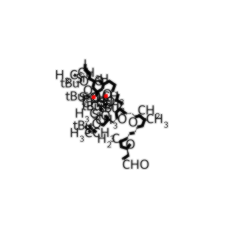 C=C1C[C@H](CCC=O)O[C@H]1CC[C@H]1CC(C)C(=C)[C@@H](C[C@@H]2O[C@H](C[C@@H](CO[Si](C)(C)C(C)(C)C)O[Si](C)(C)C(C)(C)C)C[C@H]2CC(O)C[C@H]2CC[C@@H]3O[C@H]([C@H](/C=C/I)O[Si](C)(C)C(C)(C)C)C(O[Si](C)(C)C(C)(C)C)C(O[Si](C)(C)C(C)(C)C)C3O2)O1